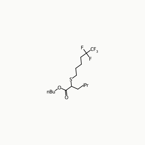 CCCCOC(=O)C(CC(C)C)SCCCCC(F)(F)C(F)(F)F